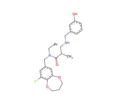 CC(C)CN(Cc1cc(F)c2c(c1)OCCCO2)C(=O)C(C)CNCc1cccc(O)c1